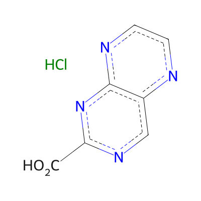 Cl.O=C(O)c1ncc2nccnc2n1